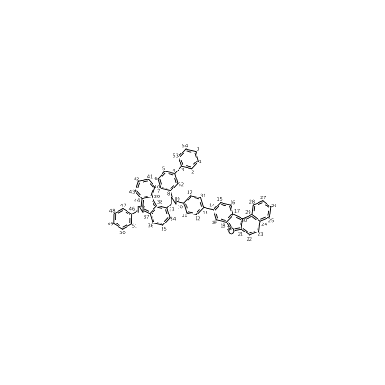 c1ccc(-c2cccc(N(c3ccc(-c4ccc5c(c4)oc4ccc6ccccc6c45)cc3)c3cccc4c3c3ccccc3n4-c3ccccc3)c2)cc1